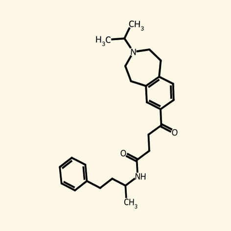 CC(CCc1ccccc1)NC(=O)CCC(=O)c1ccc2c(c1)CCN(C(C)C)CC2